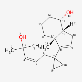 CC(C)(O)/C=C\CC1(C2=CC[C@H]3[C@@H](O)CCC[C@@]23C)CC1